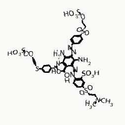 CN(C)CCS(=O)(=O)c1ccc(N=Nc2c(N)c(N=Nc3ccc(S(=O)(=O)CCOS(=O)(=O)O)cc3)c(N)c(N=Nc3ccc(SC#COOS(=O)(=O)O)cc3)c2C(O)O)c(S(=O)(=O)O)c1